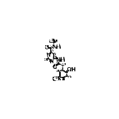 CC(C)(C)NC(=O)c1cc(NC(=O)Cc2cc(Cl)ccc2O)ncn1